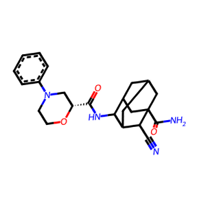 N#CC1C2CC3CC(CC1(C(N)=O)C3)C2NC(=O)[C@H]1CN(c2ccccc2)CCO1